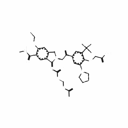 CCOc1cc2c(cc1C(=O)NC)/C(=N/C(=O)OCOC(C)=O)N(CC(=O)c1cc(N3CCCC3)c(OCC(=O)O)c(C(C)(C)C)c1)C2